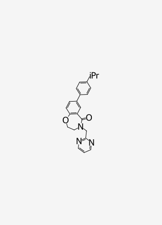 CC(C)c1ccc(-c2ccc3c(c2)C(=O)N(Cc2ncccn2)CCO3)cc1